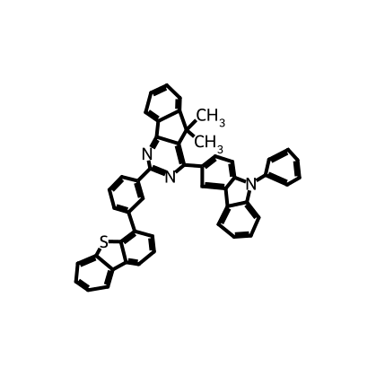 CC1(C)c2ccccc2-c2nc(-c3cccc(-c4cccc5c4sc4ccccc45)c3)nc(-c3ccc4c(c3)c3ccccc3n4-c3ccccc3)c21